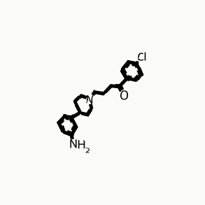 Nc1cccc(C2CCN(CCCC(=O)c3ccc(Cl)cc3)CC2)c1